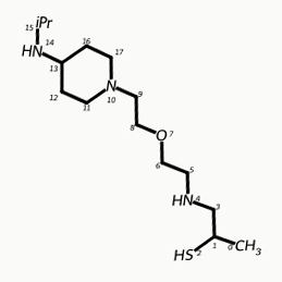 CC(S)CNCCOCCN1CCC(NC(C)C)CC1